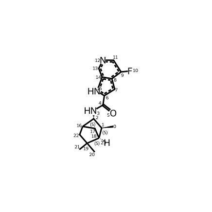 C[C@@H]1[C@@H](NC(=O)c2cc3c(F)cncc3[nH]2)C2C[C@@H]1C(C)(C)C2